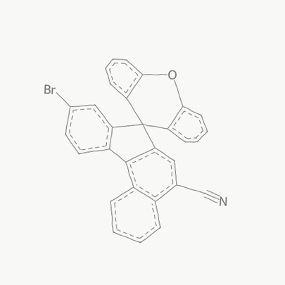 N#Cc1cc2c(c3ccccc13)-c1ccc(Br)cc1C21c2ccccc2Oc2ccccc21